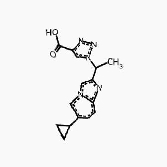 CC(c1cn2cc(C3CC3)ccc2n1)n1cc(C(=O)O)nn1